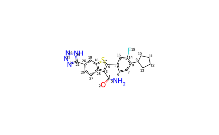 NC(=O)c1c(-c2ccc(C3CCCC3)c(F)c2)sc2cc(-c3nnn[nH]3)ccc12